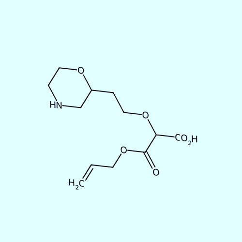 C=CCOC(=O)C(OCCC1CNCCO1)C(=O)O